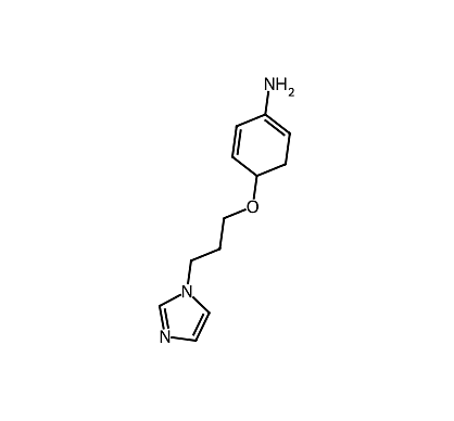 NC1=CCC(OCCCn2ccnc2)C=C1